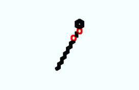 CCCCCCCCCCCCOCCOc1ccccc1